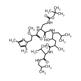 COC(Cn1nc(C)cc1C)C(=O)NC(CNC(=O)OC(C)(C)C)C(=O)NC(CC(C)C)C(O)CC(C)C(=O)NC(C(=O)NCC(C)C)C(C)C